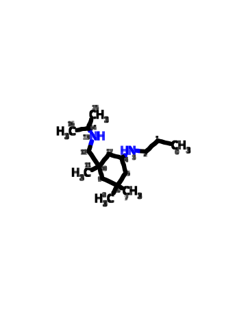 CCCNC1CC(C)(C)CC(C)(CNC(C)C)C1